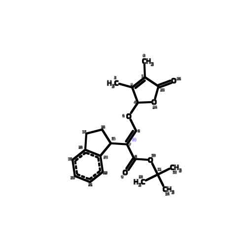 CC1=C(C)C(O/C=C(/C(=O)OC(C)(C)C)C2CCc3ccccc32)OC1=O